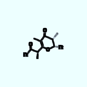 CCC(=O)[C@H](C)C1=C(C)C(=O)[C@H](C)[C@H](CC)O1